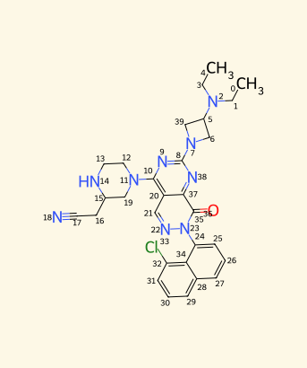 CCN(CC)C1CN(c2nc(N3CCNC(CC#N)C3)c3cnn(-c4cccc5cccc(Cl)c45)c(=O)c3n2)C1